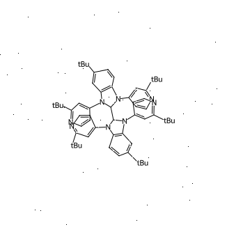 CC(C)(C)c1ccc2c(c1)N(c1ccnc(C(C)(C)C)c1)C(C1N(c3ccnc(C(C)(C)C)c3)c3ccc(C(C)(C)C)cc3N1c1ccnc(C(C)(C)C)c1)N2c1ccnc(C(C)(C)C)c1